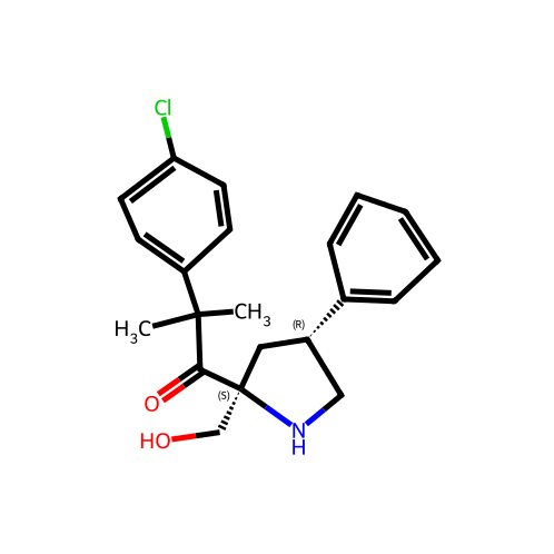 CC(C)(C(=O)[C@@]1(CO)C[C@H](c2ccccc2)CN1)c1ccc(Cl)cc1